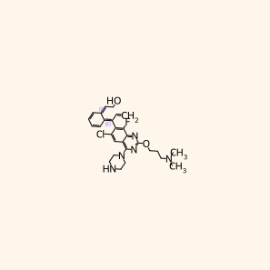 C=C/C(c1c(Cl)cc2c(N3CCNCC3)nc(OCCCN(C)C)nc2c1F)=c1/cccc/c1=C/CO